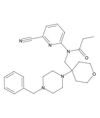 CCC(=O)N(CC1(N2CCN(Cc3ccccc3)CC2)CCOCC1)c1cccc(C#N)n1